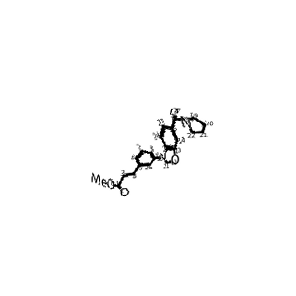 COC(=O)CCc1cccc(N2COc3cc(C(=O)N4CCCC4)ccc32)c1